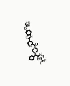 O=C(c1cc(-c2nc3ccc(O[C@H]4CCOC4)cc3o2)ccn1)N1CCN([C@@H](c2ccccc2)c2nnn(C(F)F)n2)CC1